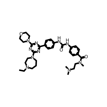 CCN1CCCN(c2nc(-c3ccc(NC(=O)Nc4ccc(C(=O)N(C)CCN(C)C)cc4)cc3)nc(N3CCOCC3)n2)CC1